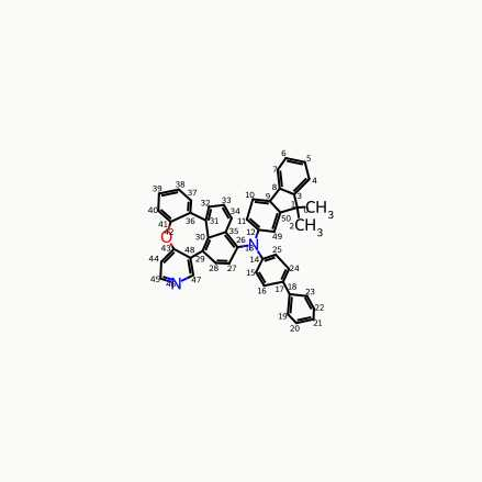 CC1(C)c2ccccc2-c2ccc(N(c3ccc(-c4ccccc4)cc3)c3ccc4c5c(cccc35)-c3ccccc3Oc3ccncc3-4)cc21